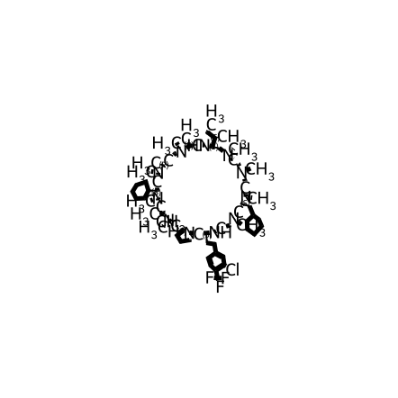 CC[C@H](C)[C@H]1CN(C)CCN(C)CCN(C)[C@@H](CC2CCCCC2)CN(C)CCN[C@@H](CCc2ccc(C(F)(F)F)c(Cl)c2)CN2CCC[C@H]2CN(C)C(C)(C)CN(C)[C@@H](C2CCCCC2)CN(C)[C@H](C)CCN(C)[C@@H](C)CN1